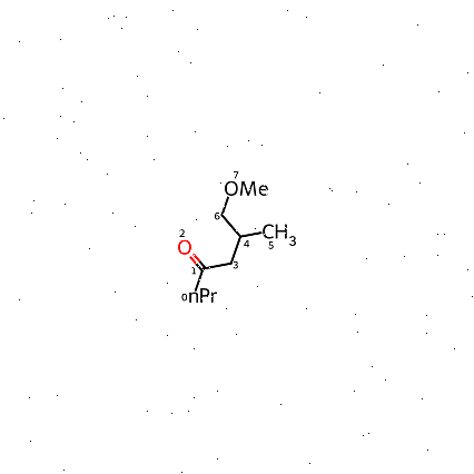 CCCC(=O)CC(C)COC